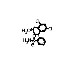 CN1Cc2c(Cl)cc(Cl)cc2[C@@H](c2ccccc2S(N)(=O)=O)C1